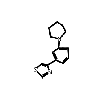 [c]1nc(-c2cccc(N3CCCCC3)c2)cs1